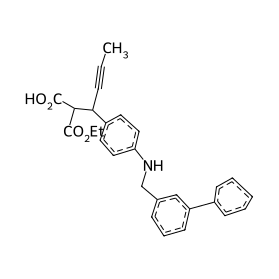 CC#CC(c1ccc(NCc2cccc(-c3ccccc3)c2)cc1)C(C(=O)O)C(=O)OCC